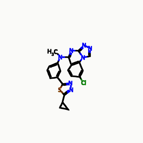 CN(c1cccc(-c2nnc(C3CC3)s2)c1)c1nc2nncn2c2cc(Cl)ccc12